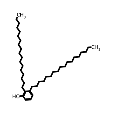 CCCCCCCCCCCCCCCCCCc1cccc(O)c1CCCCCCCCCCCCCCCCCC